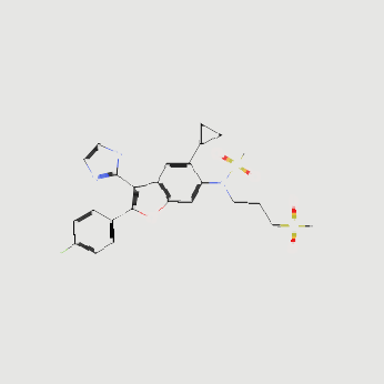 CS(=O)(=O)CCCN(c1cc2oc(-c3ccc(F)cc3)c(-c3ncc[nH]3)c2cc1C1CC1)S(C)(=O)=O